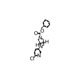 O=C(OCc1ccccc1)N1C[C@@H]2CN(c3ccc(Cl)nc3)[C@@H]2C1